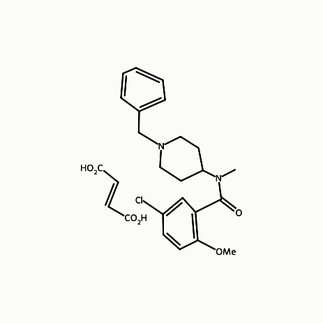 COc1ccc(Cl)cc1C(=O)N(C)C1CCN(Cc2ccccc2)CC1.O=C(O)C=CC(=O)O